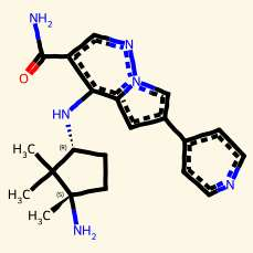 CC1(C)[C@H](Nc2c(C(N)=O)cnn3cc(-c4ccncc4)cc23)CC[C@]1(C)N